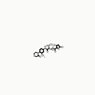 CCOC(=O)N[C@@H](CNC(=O)c1ccc(Cl)s1)C(=O)Nc1ccc(N2CCOCC2=O)c(C(F)(F)F)c1